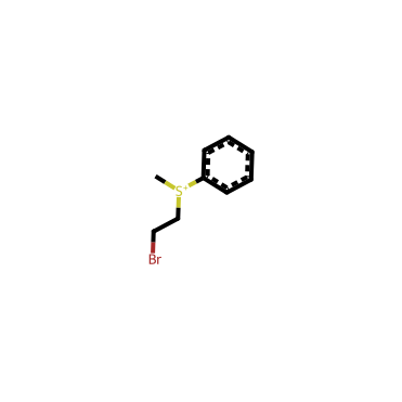 C[S+](CCBr)c1ccccc1